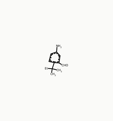 CCC(C)(C)c1ccc(N)cc1C=O